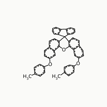 Cc1ccc(Oc2ccc3ccc4c(c3c2)Oc2c(ccc3ccc(Oc5ccc(C)cc5)cc23)C42c3ccccc3-c3ccccc32)cc1